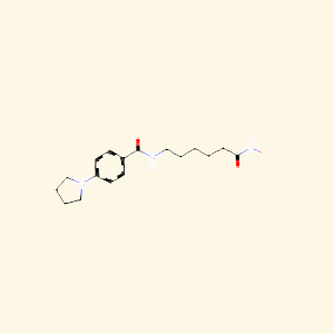 O=C(CCCCCNC(=O)c1ccc(N2CCCC2)cc1)NO